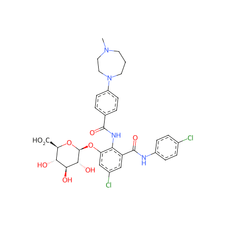 CN1CCCN(c2ccc(C(=O)Nc3c(O[C@@H]4O[C@H](C(=O)O)[C@@H](O)[C@H](O)[C@H]4O)cc(Cl)cc3C(=O)Nc3ccc(Cl)cc3)cc2)CC1